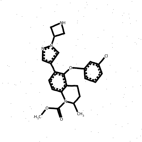 COC(=O)N1c2ccc(-c3cnn(C4CNC4)c3)c(Oc3cccc(Cl)c3)c2CCC1C